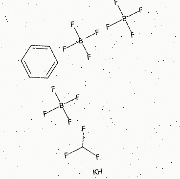 FC(F)F.F[B-](F)(F)F.F[B-](F)(F)F.F[B-](F)(F)F.[KH].c1ccccc1